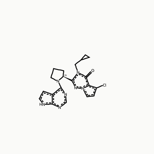 O=c1c2c(Cl)ccn2nc([C@@H]2CCCN2c2ncnc3[nH]ccc23)n1CC1CC1